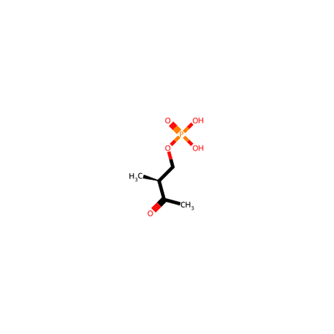 CC(=O)[C@@H](C)COP(=O)(O)O